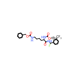 CC(C)(C)OC(=O)NC(CCCCNC(=O)OCc1ccccc1)C(=O)NC(F)c1cccc(C(F)(F)F)c1